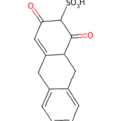 O=C1C=C2Cc3ccccc3CC2C(=O)C1S(=O)(=O)O